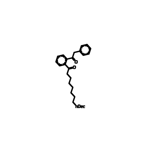 CCCCCCCCCCCCCCCCCC(=O)c1ccccc1C(=O)Cc1ccccc1